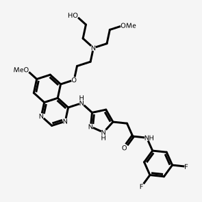 COCCN(CCO)CCOc1cc(OC)cc2ncnc(Nc3cc(CC(=O)Nc4cc(F)cc(F)c4)[nH]n3)c12